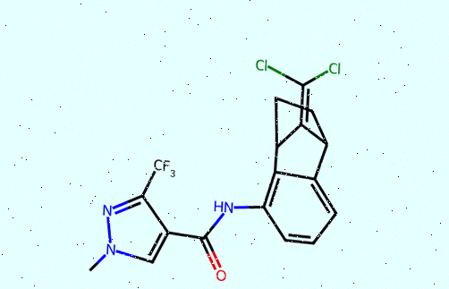 Cn1cc(C(=O)Nc2cccc3c2C2CCC3C2=C(Cl)Cl)c(C(F)(F)F)n1